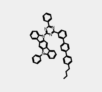 CCCCc1ccc(-c2ccc(-c3cccc(-c4nc(-c5ccccc5)nc(-n5c6ccccc6c6cc7c(cc65)c5ccccc5n7-c5ccccc5)n4)c3)cc2)cc1